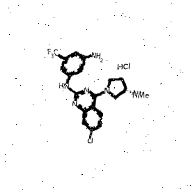 CN[C@H]1CCN(c2nc(Nc3cc(N)cc(C(F)(F)F)c3)nc3cc(Cl)ccc23)C1.Cl